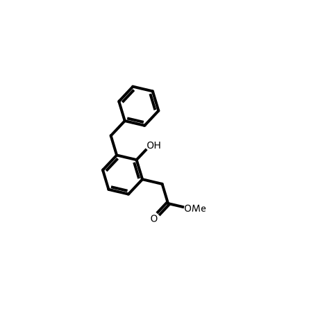 COC(=O)Cc1cccc(Cc2ccccc2)c1O